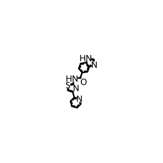 O=C(Nc1nc(-c2ccccn2)cs1)c1ccc2[nH]cnc2c1